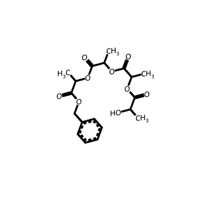 CC(O)C(=O)OC(C)C(=O)OC(C)C(=O)OC(C)C(=O)OCc1ccccc1